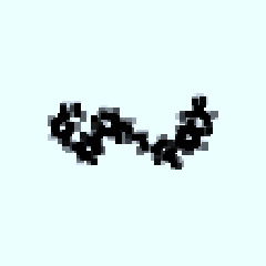 CN1CC[C@H](Oc2cncc(-c3cc(CNCC[C@H]4CN(c5ccc6c(n5)NC(=O)CO6)C(=O)O4)ccn3)n2)C1